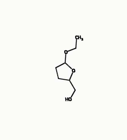 CCOC1CCC(CO)O1